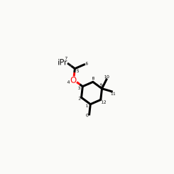 CC1CC(OC(C)C(C)C)CC(C)(C)C1